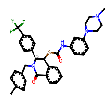 Cc1ccc(CN2C(=O)c3ccccc3C(SC(=O)Nc3cccc(N4CCN(C)CC4)c3)[C@@H]2c2ccc(C(F)(F)F)cc2)cc1